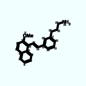 COc1ccc2ccccc2c1C=Cc1cccc(CCCN)c1